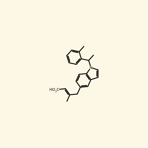 CC(=CC(=O)O)Cc1ccc2c(ccn2C(C)c2ccccc2C)c1